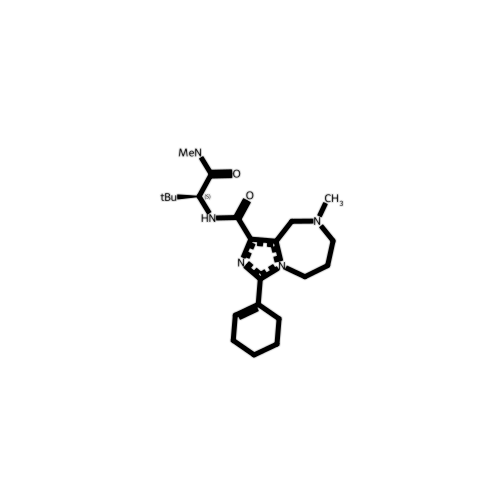 CNC(=O)[C@@H](NC(=O)c1nc(C2=CCCCC2)n2c1CN(C)CCC2)C(C)(C)C